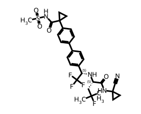 CC(C)(F)C[C@H](N[C@@H](c1ccc(-c2ccc(C3(C(=O)NS(C)(=O)=O)CC3)cc2)cc1)C(F)(F)F)C(=O)NC1(C#N)CC1